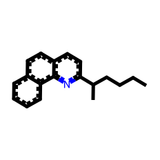 CCCCC(C)c1ccc2ccc3ccccc3c2n1